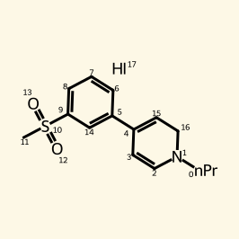 CCCN1C=CC(c2cccc(S(C)(=O)=O)c2)=CC1.I